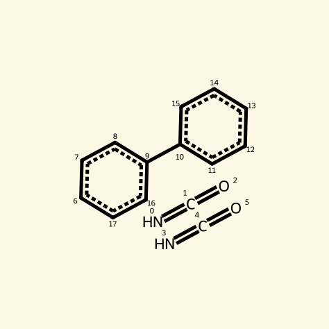 N=C=O.N=C=O.c1ccc(-c2ccccc2)cc1